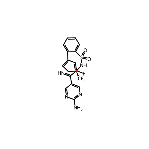 N=C(/C(F)=C\C1=C/C[C@H](C(F)(F)F)NS(=O)(=O)c2ccccc21)c1cnc(N)nc1